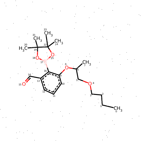 CCCCOCC(C)Oc1cccc(C=O)c1B1OC(C)(C)C(C)(C)O1